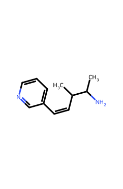 CC(N)C(C)/C=C\c1cccnc1